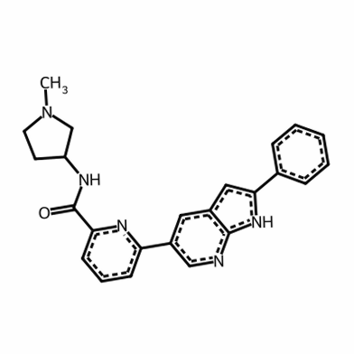 CN1CCC(NC(=O)c2cccc(-c3cnc4[nH]c(-c5ccccc5)cc4c3)n2)C1